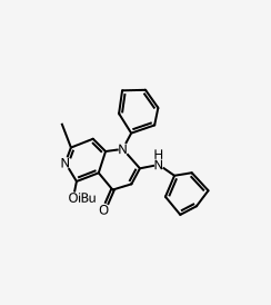 Cc1cc2c(c(OCC(C)C)n1)c(=O)cc(Nc1ccccc1)n2-c1ccccc1